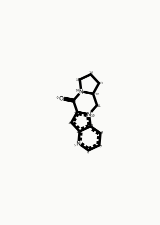 O=C1c2cc3ncccc3n2CC2CCCN12